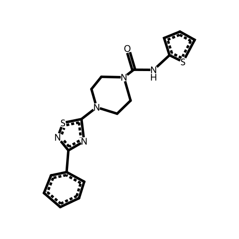 O=C(Nc1cccs1)N1CCN(c2nc(-c3ccccc3)ns2)CC1